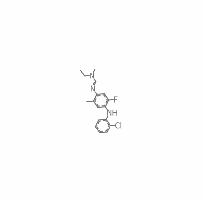 CCN(C)C=Nc1cc(F)c(Nc2ccccc2Cl)cc1C